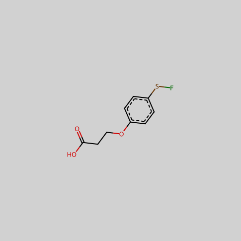 O=C(O)CCOc1ccc(SF)cc1